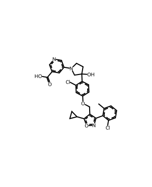 Cc1cccc(Cl)c1-c1noc(C2CC2)c1COc1ccc(C2(O)CCN(c3cncc(C(=O)O)c3)C2)c(Cl)c1